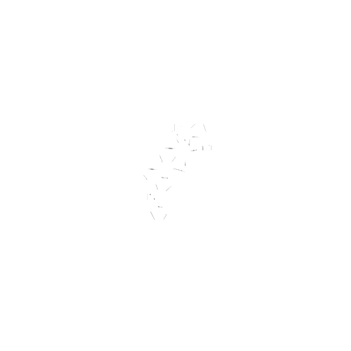 Cc1ccc(Nc2ccc3c4ccc5c6c(ccc(c7cccc2c73)c64)C(=O)N(c2c(C(C)C)cccc2C(C)C)C5=O)cc1